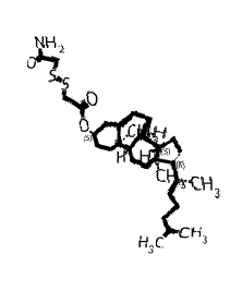 CC(C)CCC[C@@H](C)[C@H]1CC[C@H]2[C@@H]3CC=C4C[C@@H](OC(=O)CSSCC(N)=O)CC[C@]4(C)[C@H]3CC[C@]12C